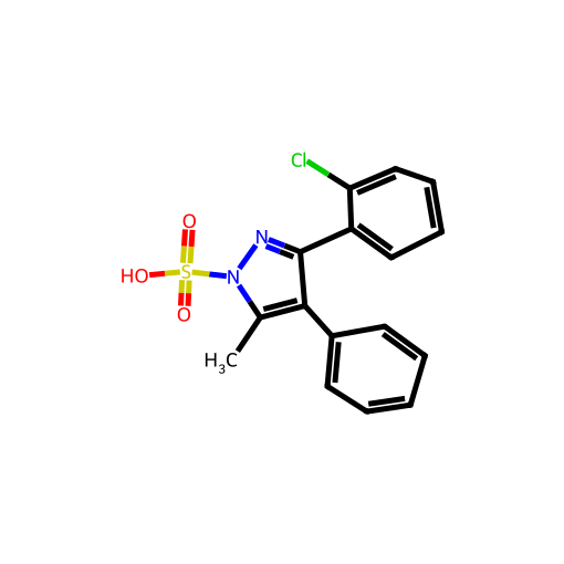 Cc1c(-c2ccccc2)c(-c2ccccc2Cl)nn1S(=O)(=O)O